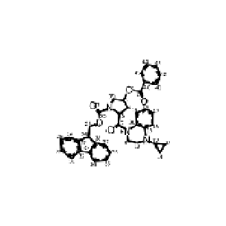 O=C(OC1CC(C(=O)N2CCN(C3CC3)c3ccccc32)N(C(=O)OCC2c3ccccc3-c3ccccc32)C1)c1ccccc1